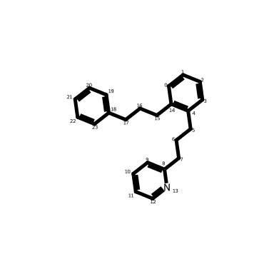 [c]1cccc(CCCc2ccccn2)c1CCCc1ccccc1